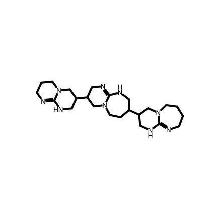 C1CCN2CC(C3CCN4CC(C5CNC6=NCCCN6C5)CN=C4NC3)CNC2=NC1